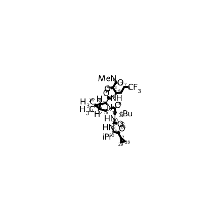 CNC(=O)C(=O)C(CCC(F)(F)F)NC(=O)[C@@H]1[C@@H]2[C@H](CN1C(=O)[C@@H](NC(=O)N[C@H](C(=O)C1CC1)C(C)C)C(C)(C)C)C2(C)C